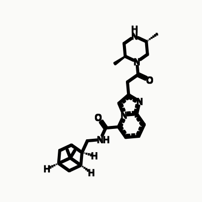 C[C@@H]1CN(C(=O)Cc2cn3c(C(=O)NC[C@@H]4CC[C@@H]5C[C@H]4C5(C)C)cccc3n2)[C@@H](C)CN1